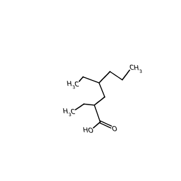 CCCC(CC)CC(CC)C(=O)O